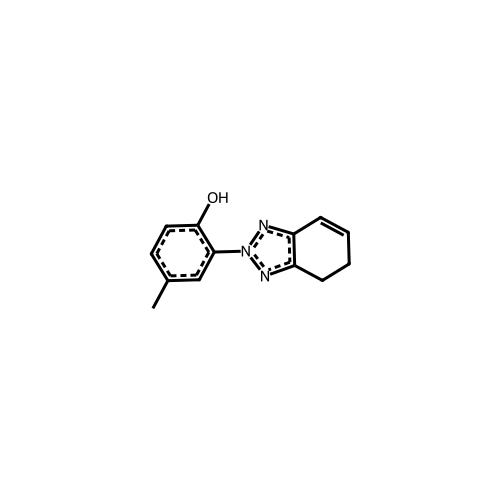 Cc1ccc(O)c(-n2nc3c(n2)CCC=C3)c1